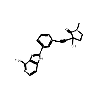 CN1CCC(O)(C#Cc2cccc(-c3nc4c(N)nccc4[nH]3)c2)C1=O